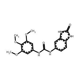 COc1cc(NC(=O)Nc2ccc3[nH]c(=O)[nH]c3c2)cc(OC)c1OC